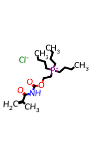 C=C(C)C(=O)NC(=O)OCC[P+](CCCC)(CCCC)CCCC.[Cl-]